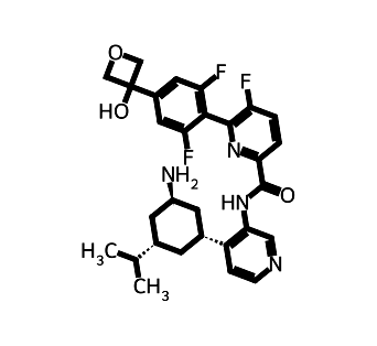 CC(C)[C@@H]1C[C@@H](N)C[C@H](c2ccncc2NC(=O)c2ccc(F)c(-c3c(F)cc(C4(O)COC4)cc3F)n2)C1